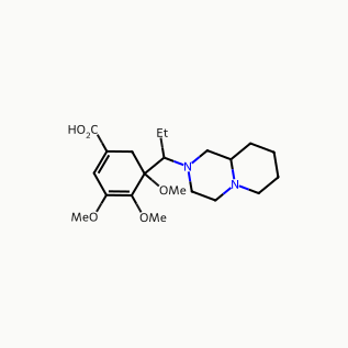 CCC(N1CCN2CCCCC2C1)C1(OC)CC(C(=O)O)=CC(OC)=C1OC